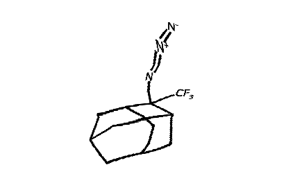 [N-]=[N+]=NC1(C(F)(F)F)C2CC3CC(C2)CC1C3